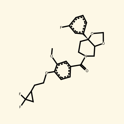 COc1cc(C(=O)N2CC[C@]3(c4cccc(F)c4)OCOC3C2)ccc1OCCC1CC1(F)F